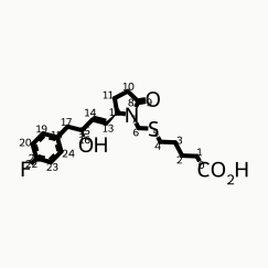 O=C(O)CCCCSCN1C(=O)CC[C@@H]1/C=C/[C@@H](O)Cc1ccc(F)cc1